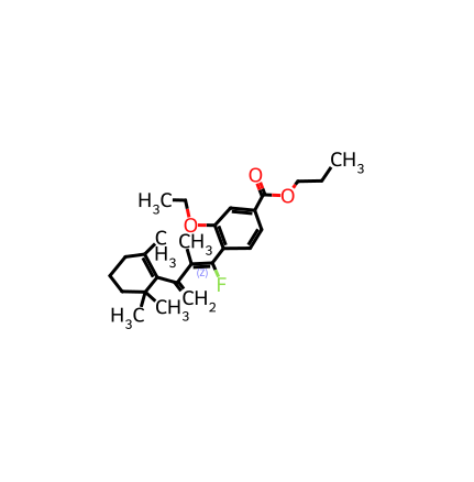 C=C(C1=C(C)CCCC1(C)C)/C(C)=C(\F)c1ccc(C(=O)OCCC)cc1OCC